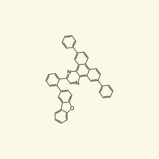 c1ccc(-c2ccc3c4ccc(-c5ccccc5)cc4c4nc(-c5ccccc5-c5ccc6oc7ccccc7c6c5)cnc4c3c2)cc1